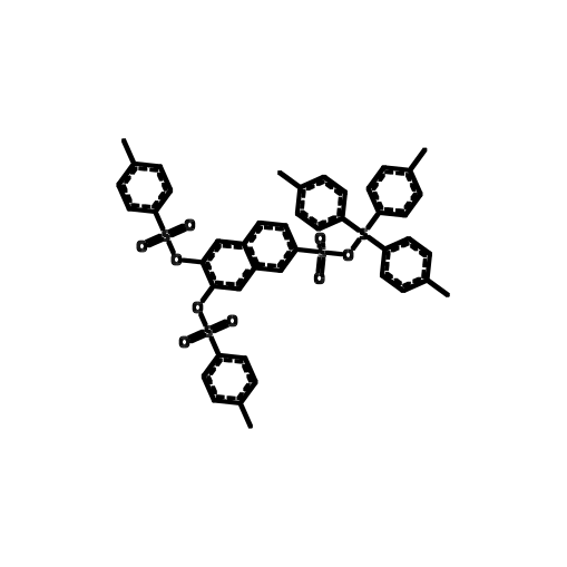 Cc1ccc(S(OS(=O)(=O)c2ccc3cc(OS(=O)(=O)c4ccc(C)cc4)c(OS(=O)(=O)c4ccc(C)cc4)cc3c2)(c2ccc(C)cc2)c2ccc(C)cc2)cc1